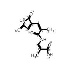 CC(=CNC(=O)C(C)=CC1=CC(=O)NC1=O)C(=O)O